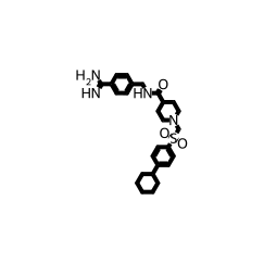 N=C(N)c1ccc(CNC(=O)C2CCN(CS(=O)(=O)c3ccc(C4CCCCC4)cc3)CC2)cc1